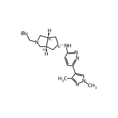 CCC(C)CN1C[C@H]2C[C@@H](Nc3ccc(-c4cn(C)nc4C)nn3)C[C@H]2C1